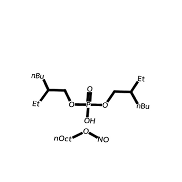 CCCCC(CC)COP(=O)(O)OCC(CC)CCCC.CCCCCCCCON=O